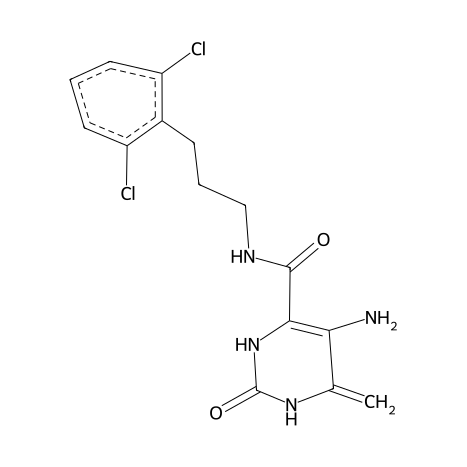 C=C1NC(=O)NC(C(=O)NCCCc2c(Cl)cccc2Cl)=C1N